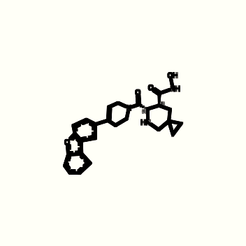 O=C(NO)[C@H]1CC2(CC2)CN[C@@H]1C(=O)N1CC=C(c2ccc3oc4ccccc4c3c2)CC1